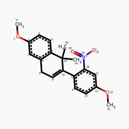 COc1ccc2c(c1)CC=C(c1ccc(OC)cc1[N+](=O)[O-])C2(C)C